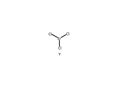 [Cl][Er]([Cl])[Cl].[Y]